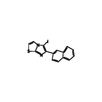 Ic1c(-c2ccc3ccccc3c2)nc2sccn12